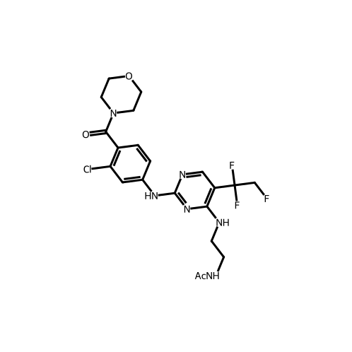 CC(=O)NCCNc1nc(Nc2ccc(C(=O)N3CCOCC3)c(Cl)c2)ncc1C(F)(F)CF